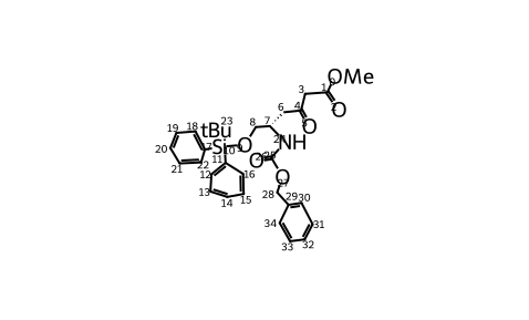 COC(=O)CC(=O)C[C@@H](CO[Si](c1ccccc1)(c1ccccc1)C(C)(C)C)NC(=O)OCc1ccccc1